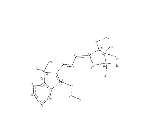 CCC[N+]1=C(/C=C/C=C2\SC(C)(C)C(C)(C)N2CC)C(C)(C)c2ccccc21